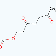 CC(=O)CCC(=O)CCO[C]=O